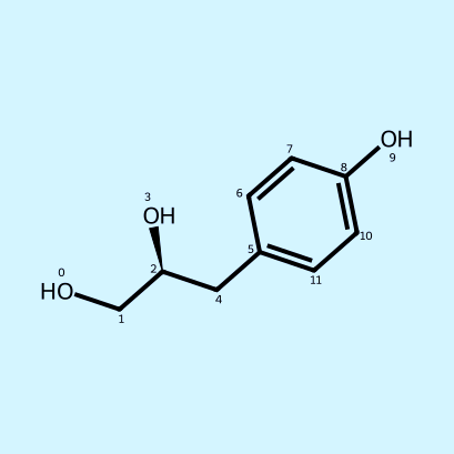 OC[C@@H](O)Cc1ccc(O)cc1